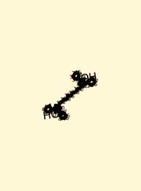 Oc1c(C2CCCCC2)cc(CCCCCCCCCCc2cc(C3CCCCC3)c(O)c(C3CCCCC3)c2)cc1C1CCCCC1